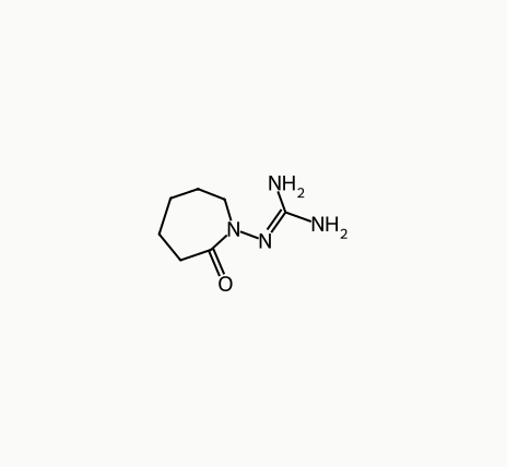 NC(N)=NN1CCCCCC1=O